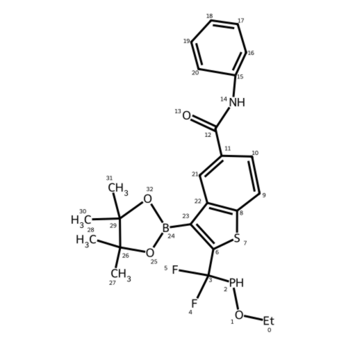 CCOPC(F)(F)c1sc2ccc(C(=O)Nc3ccccc3)cc2c1B1OC(C)(C)C(C)(C)O1